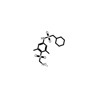 Cc1cc(NS(=O)(=O)CC2CCCCC2)cc(C)c1S(=O)(=O)C[N+](=O)[O-]